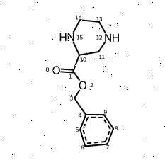 O=C(OCc1ccccc1)C1CNCCN1